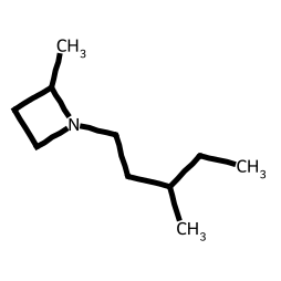 CCC(C)CCN1CCC1C